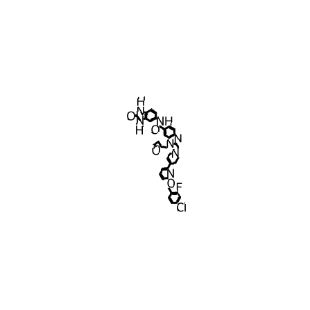 O=C(Nc1ccc2[nH]c(=O)[nH]c2c1)c1ccc2nc(CN3CC=C(c4cccc(OCc5ccc(Cl)cc5F)n4)CC3)n(CC3CCO3)c2c1